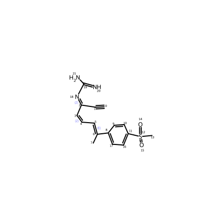 C#CC(/C=C\C=C(/C)c1ccc(S(C)(=O)=O)cc1)=N\C(=N)N